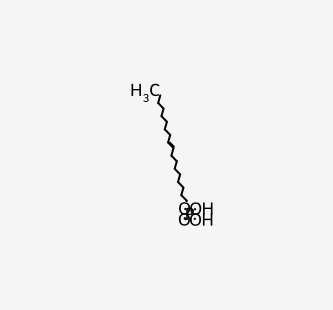 CCCCCCCCC=CCCCCCCCCOP(=O)(O)O